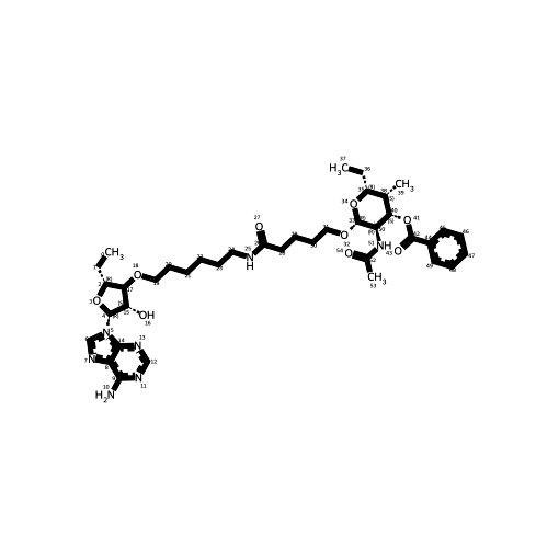 CC[C@H]1O[C@@H](n2cnc3c(N)ncnc32)[C@@H](O)C1OCCCCCCNC(=O)CCCCO[C@@H]1O[C@H](CC)[C@H](C)[C@H](OC(=O)c2ccccc2)[C@H]1NC(C)=O